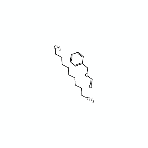 CCCCCCCCCCC.O=COCc1ccccc1